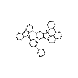 c1ccc(-c2ccc(-n3c4ccccc4c4cccc(-c5ccc6c7ccc8cccc9c%10ccccc%10n(c6c5)c7c89)c43)cc2)cc1